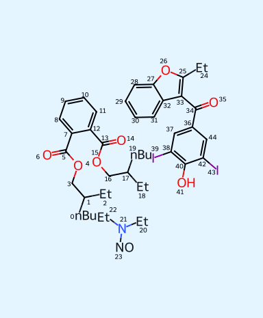 CCCCC(CC)COC(=O)c1ccccc1C(=O)OCC(CC)CCCC.CCN(CC)N=O.CCc1oc2ccccc2c1C(=O)c1cc(I)c(O)c(I)c1